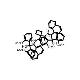 COc1ccccc1C(O)(c1ccccc1OC)[C@@H](NC(=O)C1(C(=O)N[C@@H](c2cccc3ccccc23)C(O)(c2ccccc2OC)c2ccccc2OC)CCC1)c1cccc2ccccc12